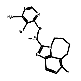 C[C@H](Nc1ncnc(N)c1C#N)c1nc2ccc(F)c3c2n1CCCC3